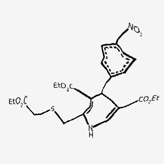 CCOC(=O)CSCC1=C(C(=O)OCC)C(c2ccc([N+](=O)[O-])cc2)C(C(=O)OCC)=CN1